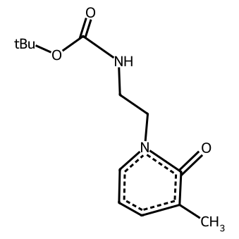 Cc1cccn(CCNC(=O)OC(C)(C)C)c1=O